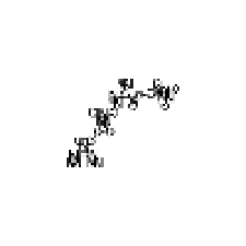 c1ccc(-c2nc(-c3ccccc3)nc(-n3c4ccccc4c4cc(-c5ccc6c(c5)c5ccccc5n6-c5cc(-c6ncccn6)cc(-c6nccc(-c7cccc(-c8nc(-c9ccccc9)nc(-n9c%10ccccc%10c%10cc(-c%11ccc%12c(c%11)c%11ccccc%11n%12-c%11cc(-c%12ncncn%12)cc(-c%12ncncn%12)c%11)ccc%109)n8)c7)n6)c5)ccc43)n2)cc1